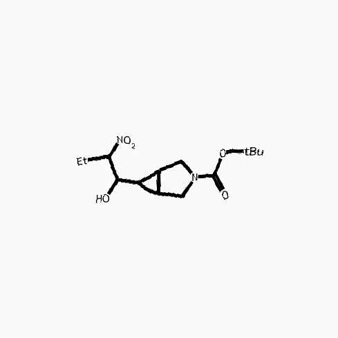 CCC(C(O)C1C2CN(C(=O)OC(C)(C)C)CC21)[N+](=O)[O-]